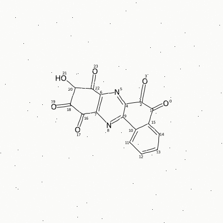 O=C1C(=O)c2nc3c(nc2-c2ccccc21)C(=O)C(=O)C(O)C3=O